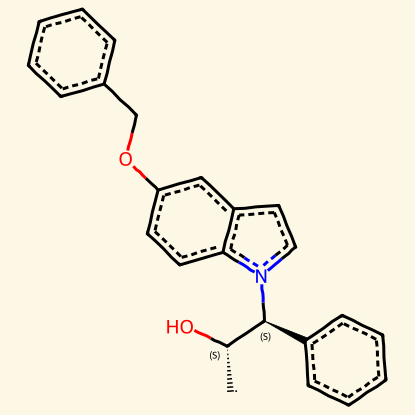 [CH2][C@H](O)[C@H](c1ccccc1)n1ccc2cc(OCc3ccccc3)ccc21